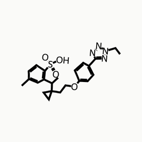 CCn1nnc(-c2ccc(OCCC3(C(C)c4cc(C)ccc4S(=O)(=O)O)CC3)cc2)n1